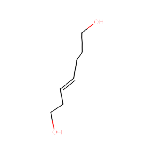 OCC/C=C/CCCO